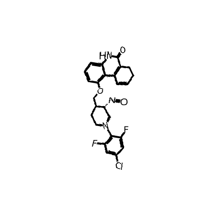 O=N[C@@H]1CN(c2c(F)cc(Cl)cc2F)CCC1COc1cccc2[nH]c(=O)c3c(c12)C=CCC3